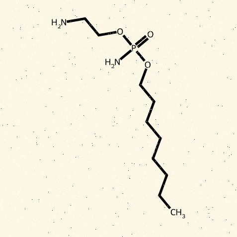 CCCCCCCCOP(N)(=O)OCCN